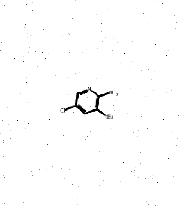 CC(C)(C)c1cc(Cl)cnc1N